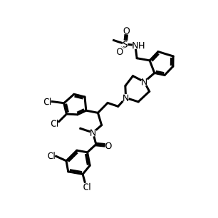 CN(CC(CCN1CCN(c2ccccc2CNS(C)(=O)=O)CC1)c1ccc(Cl)c(Cl)c1)C(=O)c1cc(Cl)cc(Cl)c1